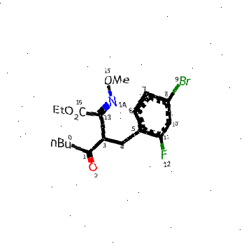 CCCCC(=O)C(Cc1ccc(Br)cc1F)C(=NOC)C(=O)OCC